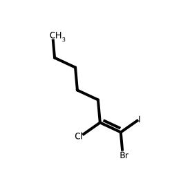 CCCCC/C(Cl)=C(/Br)I